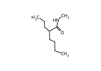 CCCC[C](CCC)C(=O)NC